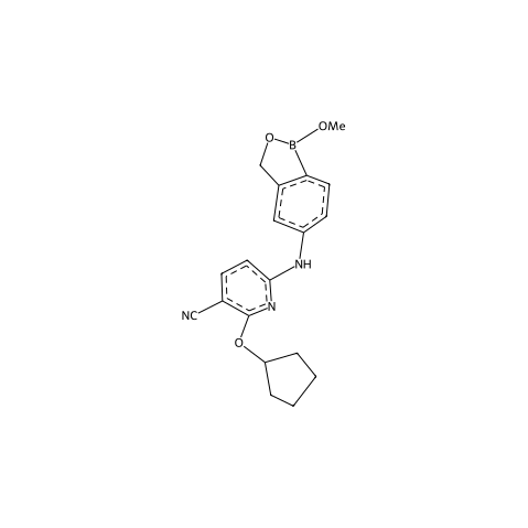 COB1OCc2cc(Nc3ccc(C#N)c(OC4CCCC4)n3)ccc21